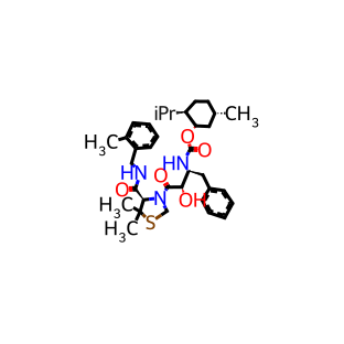 Cc1ccccc1CNC(=O)[C@H]1N(C(=O)[C@@H](O)[C@H](Cc2ccccc2)NC(=O)O[C@H]2C[C@@H](C)CC[C@@H]2C(C)C)CSC1(C)C